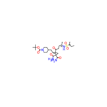 CC[C@H](C)S(=O)(=O)N[C@H](C)CCC(=O)[C@]1(CCC2CCN(C(=O)OC(C)(C)C)CC2)CC1(C(N)=O)C(N)=O